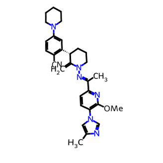 C=C1[C@H](c2cc(N3CCCCC3)ccc2C#N)CCCN1/N=C(\C)c1ccc(-n2cnc(C)c2)c(OC)n1